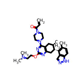 C=CC(=O)N1CCN(c2nc(OCCN(C)C)nc3c2C[C@@H](C)[C@H](c2c(C)ccc4[nH]ncc24)C3)CC1